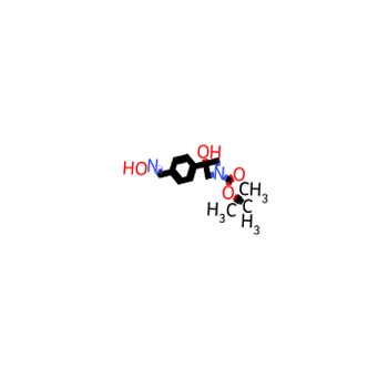 CC(C)(C)OC(=O)N1CC(O)(c2ccc(/C=N/O)cc2)C1